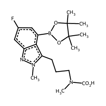 CN(CCCc1c2c(B3OC(C)(C)C(C)(C)O3)cc(F)cc2nn1C)C(=O)O